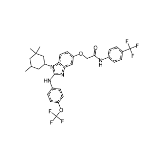 CC1CC(n2c(Nc3ccc(OC(F)(F)F)cc3)nc3cc(OCC(=O)Nc4ccc(C(F)(F)F)cc4)ccc32)CC(C)(C)C1